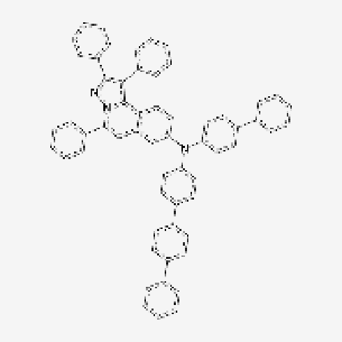 c1ccc(-c2ccc(-c3ccc(N(c4ccc(-c5ccccc5)cc4)c4ccc5c(c4)cc(-c4ccccc4)n4nc(-c6ccccc6)c(-c6ccccc6)c54)cc3)cc2)cc1